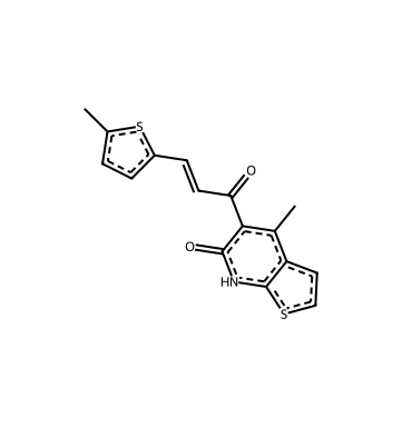 Cc1ccc(/C=C/C(=O)c2c(C)c3ccsc3[nH]c2=O)s1